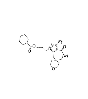 CCc1nn(CCCOC(=O)C2CCCCC2)c2c1C(=O)NCC1(CCOCC1)C2